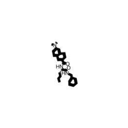 CCCC[C@H](NC(=O)c1ccc2cc(N(C)C)ccc2c1)C(=O)NCc1ccccc1